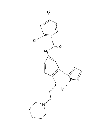 Cn1nccc1-c1cc(NC(=O)c2ccc(Cl)cc2Cl)ccc1OCCN1CCCCC1